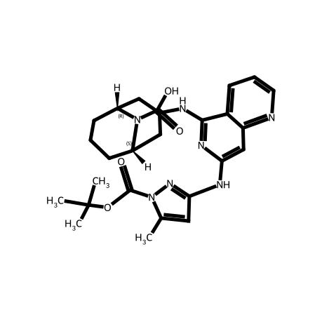 Cc1cc(Nc2cc3ncccc3c(NC3C[C@H]4CCC[C@@H](C3)N4C(=O)O)n2)nn1C(=O)OC(C)(C)C